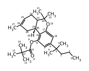 CCCC(C)(C)c1cc(OC(=O)C(C)(C)C)c2c(c1)OC(C)(C)C1CC=C(C)C[C@@H]21